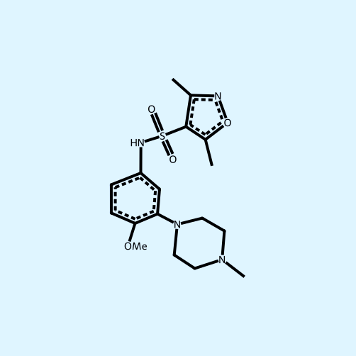 COc1ccc(NS(=O)(=O)c2c(C)noc2C)cc1N1CCN(C)CC1